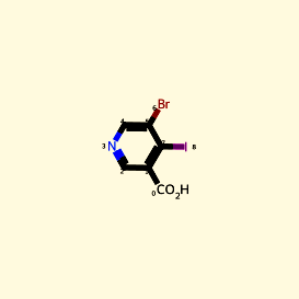 O=C(O)c1cncc(Br)c1I